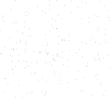 Cc1cc2c(F)c(Oc3ncnn4cc(OCCC5CCNCC5)c(C)c34)ccc2[nH]1